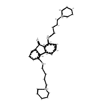 O=C1c2cccc(OCCCCN3CCCCC3)c2-c2cccc(OCCCCN3CCCCC3)c21